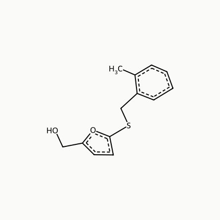 Cc1ccccc1CSc1ccc(CO)o1